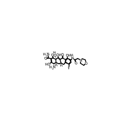 NC(=O)C1=C(O)[C@@H](N)[C@@H]2C[C@@H]3Cc4c(F)cc(NC(=O)CN5CCOCC5)c(O)c4C(=O)C3=C(O)[C@]2(O)C1=O